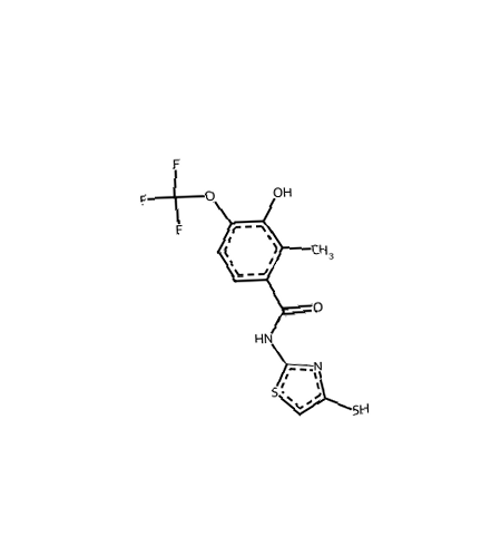 Cc1c(C(=O)Nc2nc(S)cs2)ccc(OC(F)(F)F)c1O